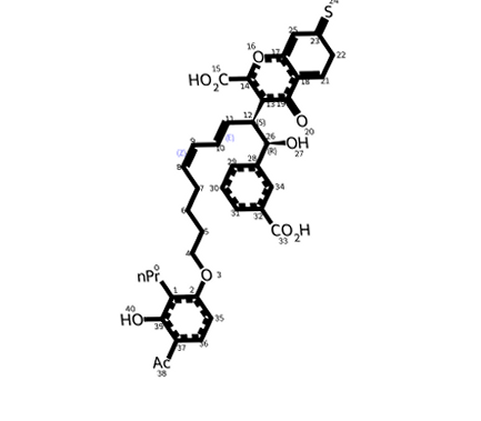 CCCc1c(OCCCC/C=C\C=C\[C@@H](c2c(C(=O)O)oc3c(c2=O)=CCC(=S)C=3)[C@@H](O)c2cccc(C(=O)O)c2)ccc(C(C)=O)c1O